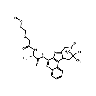 CCOCCOCC(=O)N[C@@H](C)C(=O)Nc1nc2ccccc2c2c1nc(COCC)n2CC(C)(C)O